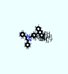 CC1(C)c2cc3ccccc3c(-c3ccc(-c4nc(-c5ccccc5)cc(-c5ccccc5)n4)cc3)c2C(C)(C)C1(C)C